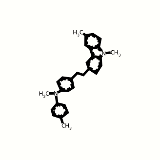 Cc1ccc(N(C)c2ccc(CCc3ccc4c(c3)c3cc(C)ccc3n4C)cc2)cc1